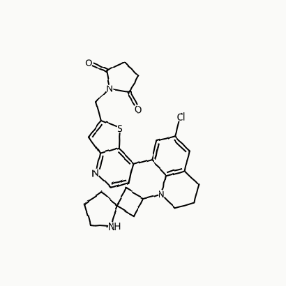 O=C1CCC(=O)N1Cc1cc2nccc(-c3cc(Cl)cc4c3N(C3CC5(CCCN5)C3)CCC4)c2s1